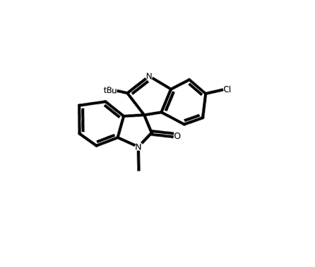 CN1C(=O)C2(C(C(C)(C)C)=Nc3cc(Cl)ccc32)c2ccccc21